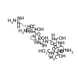 CC(C)[C@H](NC(=O)[C@@H]1CCCN1C(=O)[C@@H](NC(=O)[C@@H](N)CCCNC(=N)N)[C@@H](C)O)C(=O)NCC(=O)N[C@@H](CO)C(=O)N[C@@H](CC(N)=O)C(=O)N[C@H](C(=O)N1CCC[C@H]1C(=O)O)[C@@H](C)O